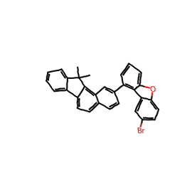 CC1(C)c2ccccc2-c2ccc3ccc(-c4cccc5oc6ccc(Br)cc6c45)cc3c21